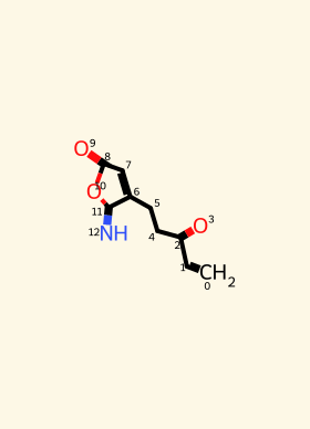 C=CC(=O)CCC1=CC(=O)OC1=N